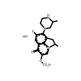 CC1CN(c2c(F)cc3c(=O)c(OC(=O)O)cn4c3c2CC4C)CCN1.Cl